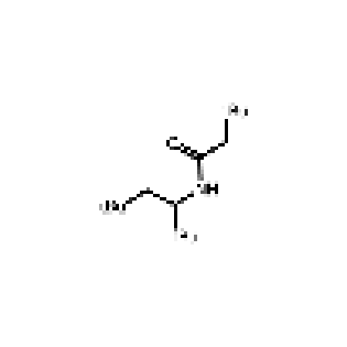 CC(C)(C)CC(=O)NC(CC(C)(C)C)C(C)(C)C